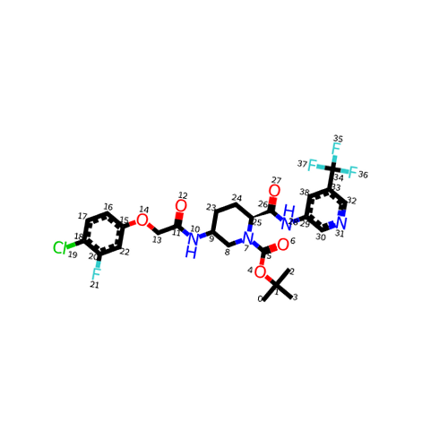 CC(C)(C)OC(=O)N1CC(NC(=O)COc2ccc(Cl)c(F)c2)CC[C@H]1C(=O)Nc1cncc(C(F)(F)F)c1